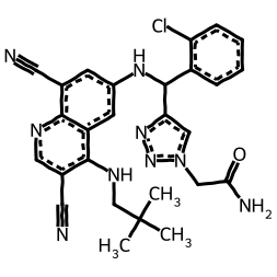 CC(C)(C)CNc1c(C#N)cnc2c(C#N)cc(NC(c3cn(CC(N)=O)nn3)c3ccccc3Cl)cc12